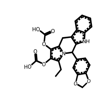 CCc1c(OC(=O)O)c(OC(=O)O)c2n1C(c1ccc3c(c1)OCO3)c1[nH]c3ccccc3c1C2